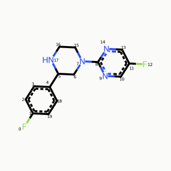 Fc1ccc(C2CN(c3ncc(F)cn3)CCN2)cc1